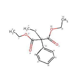 CCOC(=O)C(CC)(C(=O)OCC)c1ccccc1